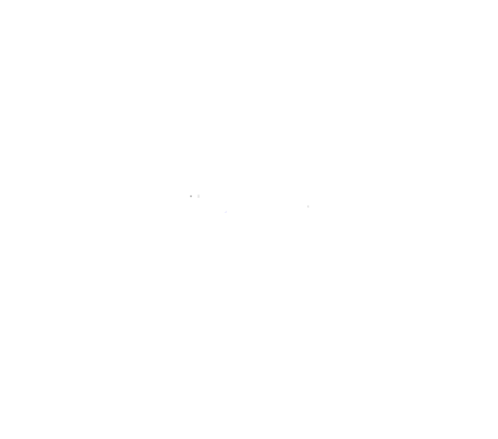 CCCCCC(C)/C=C/C=O